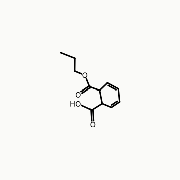 CCCOC(=O)C1C=CC=CC1C(=O)O